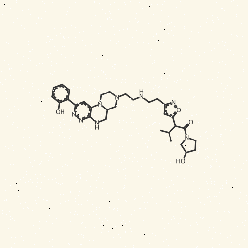 CC(C)C(C(=O)N1CCC(O)C1)c1cc(CCNCCN2CCN3c4cc(-c5ccccc5O)nnc4NCC3C2)no1